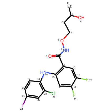 CCC(O)CCONC(=O)c1cc(F)c(F)cc1Nc1ccc(I)cc1Cl